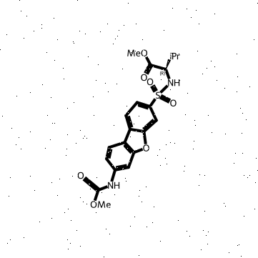 COC(=O)Nc1ccc2c(c1)oc1cc(S(=O)(=O)N[C@@H](C(=O)OC)C(C)C)ccc12